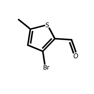 Cc1cc(Br)c(C=O)s1